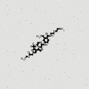 CCOC(=O)Cn1cc(-c2cnc3c(Nc4ccc(C(=O)NCCOCCN)c(CC)c4)nccn23)c(C(F)(F)F)n1